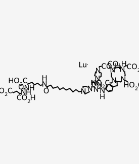 O=C(O)CC[C@H](NC(=O)N[C@@H](CCCCNC(=O)CCCCCCCCCCN1CCN(c2nc(Nc3ccc(CC4CN(CC(=O)O)CCN(CC(=O)O)CCN(CC(=O)O)CCN4CC(=O)O)cc3)nc(N3CCN(CC(=O)O)CC3)n2)CC1)C(=O)O)C(=O)O.[Lu]